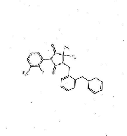 CC1(C)C(=O)N(c2cccc(C(F)(F)F)c2F)C(=O)N1CC1=CC=CCC1CC1C=CC=CC1